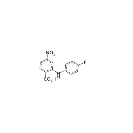 O=C(O)c1ccc([N+](=O)[O-])cc1Nc1ccc(F)cc1